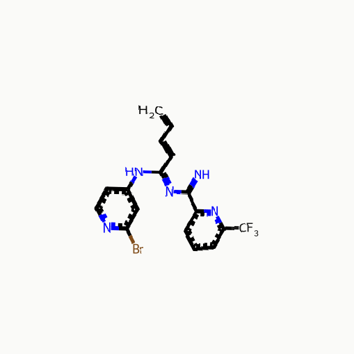 C=C/C=C/C(=N\C(=N)c1cccc(C(F)(F)F)n1)Nc1ccnc(Br)c1